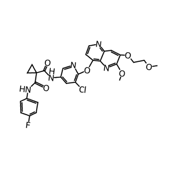 COCCOc1cc2nccc(Oc3ncc(NC(=O)C4(C(=O)Nc5ccc(F)cc5)CC4)cc3Cl)c2nc1OC